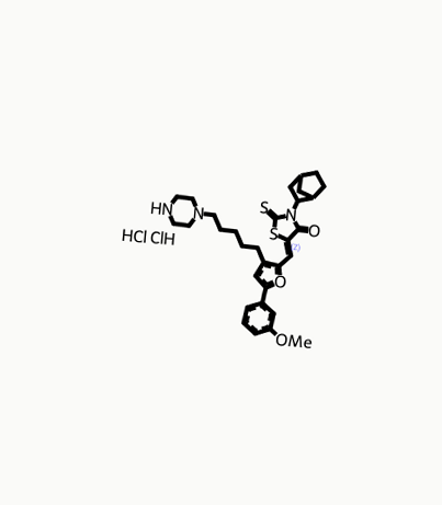 COc1cccc(-c2cc(CCCCCN3CCNCC3)c(/C=C3\SC(=S)N(C4CC5CCC4C5)C3=O)o2)c1.Cl.Cl